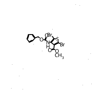 COC(=O)c1c(Br)sc(Br)c1NC(=O)OCc1ccccc1